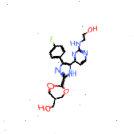 OCCNc1nccc(-c2[nH]c(C3OCC(CO)CO3)nc2-c2ccc(F)cc2)n1